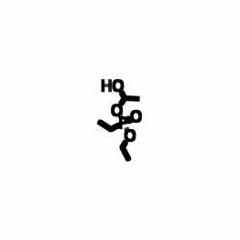 CCOP(=O)(CC)OC(C)O